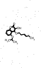 CC/C=C/CCOc1c(O)c(=O)oc2cccc(OC(C)C)c12